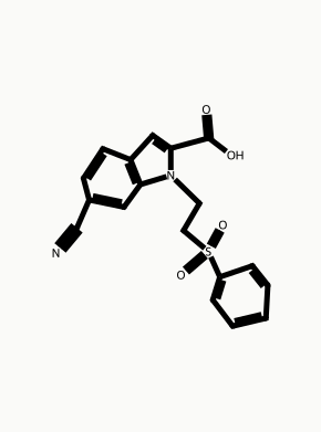 N#Cc1ccc2cc(C(=O)O)n(CCS(=O)(=O)c3ccccc3)c2c1